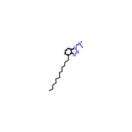 CCCCCCCCCCCCc1cccc2c1nnn2CN(C)C